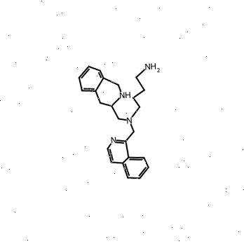 NCCCCN(Cc1nccc2ccccc12)CC1Cc2ccccc2CN1